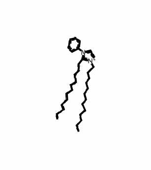 CCCCCCCCCCCCC[n+]1ccn(-c2ccccc2)c1CCCCCCCCCCCC